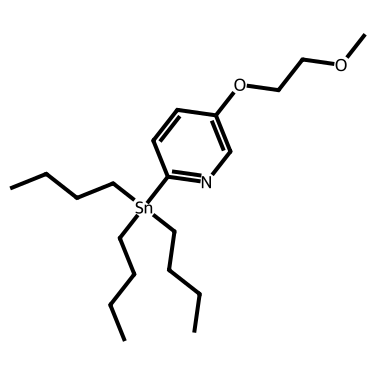 CCC[CH2][Sn]([CH2]CCC)([CH2]CCC)[c]1ccc(OCCOC)cn1